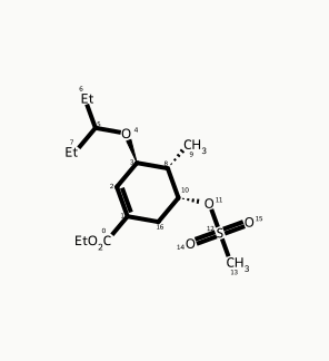 CCOC(=O)C1=C[C@@H](OC(CC)CC)[C@H](C)[C@H](OS(C)(=O)=O)C1